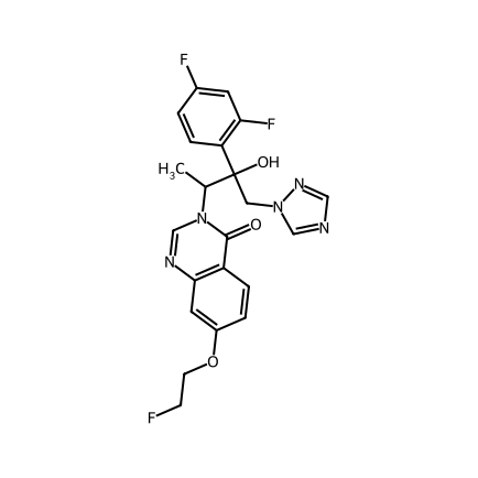 CC(n1cnc2cc(OCCF)ccc2c1=O)C(O)(Cn1cncn1)c1ccc(F)cc1F